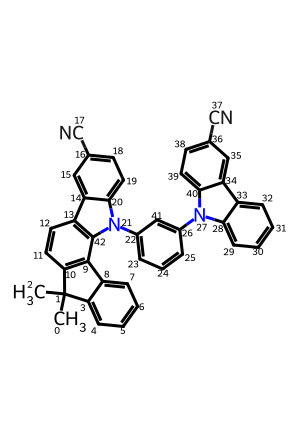 CC1(C)c2ccccc2-c2c1ccc1c3cc(C#N)ccc3n(-c3cccc(-n4c5ccccc5c5cc(C#N)ccc54)c3)c21